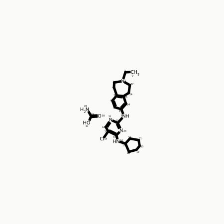 CCN1CCc2ccc(Nc3ncc(Cl)c(NC4CCCCC4)n3)cc2CC1.NC(=O)O